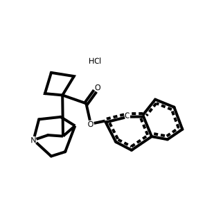 Cl.O=C(Oc1ccc2ccccc2c1)C1(C2CN3CCC2CC3)CCC1